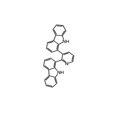 c1cnc(-c2cccc3c2[nH]c2ccccc23)c(-c2cccc3c2[nH]c2ccccc23)c1